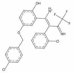 N=C(/C(=C(\N)c1cc(OCc2ccc(Cl)cc2)ccc1O)c1ccccc1Cl)C(F)(F)F